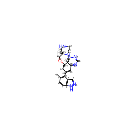 Cc1ccc2[nH]ncc2c1-c1cc2c3c(ncnc3c1)N1CCNC[C@H]1CO2